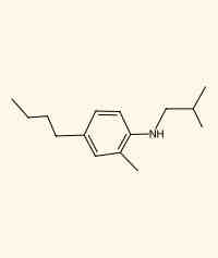 CCCCc1ccc(NCC(C)C)c(C)c1